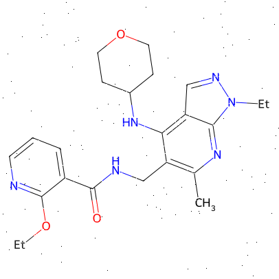 CCOc1ncccc1C(=O)NCc1c(C)nc2c(cnn2CC)c1NC1CCOCC1